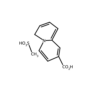 CS(=O)(=O)O.O=C(O)C1=CC2=CC=CCN2C=C1